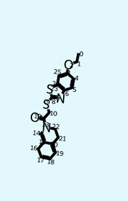 CCOc1ccc2nc(SCC(=O)N3C=C4CC=CC=C4CC3)sc2c1